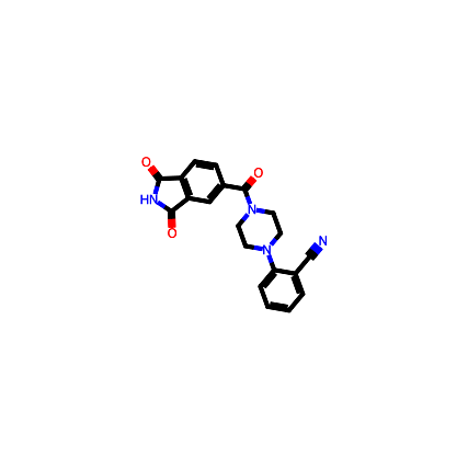 N#Cc1ccccc1N1CCN(C(=O)c2ccc3c(c2)C(=O)NC3=O)CC1